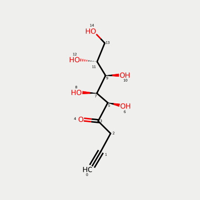 C#CCC(=O)[C@H](O)[C@@H](O)[C@H](O)[C@H](O)CO